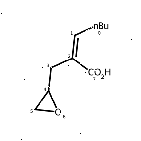 CCCC/C=C(/CC1CO1)C(=O)O